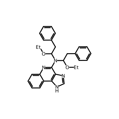 CCOC(Cc1ccccc1)N(c1nc2ccccc2c2[nH]cnc12)C(Cc1ccccc1)OCC